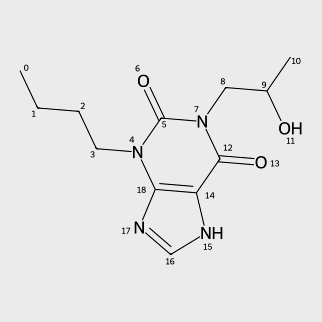 CCCCn1c(=O)n(CC(C)O)c(=O)c2[nH]cnc21